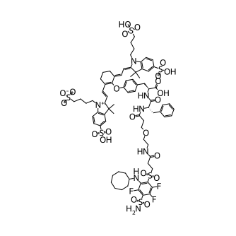 CC1(C)C(/C=C/C2=C(Oc3ccc(C[C@H](NC(=O)[C@H](Cc4ccccc4)NC(=O)CCOCCNC(=O)CCS(=O)(=O)c4c(F)c(F)c(S(N)(=O)=O)c(F)c4NC4CCCCCCC4)C(=O)O)cc3)C(=C/C=C3/N(CCCCS(=O)(=O)O)c4ccc(S(=O)(=O)O)cc4C3(C)C)/CCC2)=[N+](CCCCS(=O)(=O)[O-])c2ccc(S(=O)(=O)O)cc21